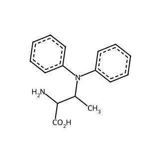 CC(C(N)C(=O)O)N(c1ccccc1)c1ccccc1